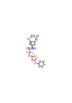 CC(C)(OC1=COC(Cc2ccccc2)O1)C(=O)Nc1nc(CC(=O)O)c(Cl)s1